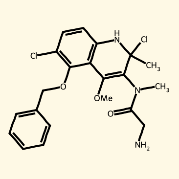 COC1=C(N(C)C(=O)CN)C(C)(Cl)Nc2ccc(Cl)c(OCc3ccccc3)c21